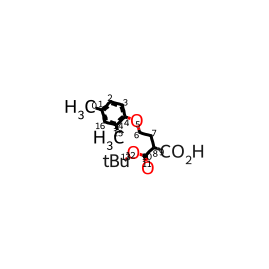 Cc1ccc(OCCC(C(=O)O)C(=O)OC(C)(C)C)c(C)c1